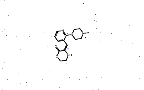 CN1CCN(c2ncccc2/C=C2/NCCOC2=O)CC1